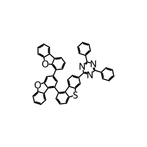 c1ccc(-c2nc(-c3ccccc3)nc(-c3ccc4c(c3)sc3cccc(-c5cc(-c6cccc7c6oc6ccccc67)cc6oc7ccccc7c56)c34)n2)cc1